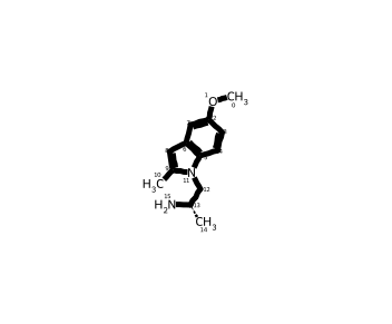 COc1ccc2c(c1)cc(C)n2C[C@H](C)N